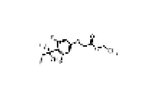 CCOC(=O)COc1cc(F)c(C(C)(C)CF)c(F)c1